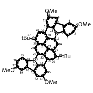 COc1ccc2c(c1)-c1cc(OC)cc3c1B2c1cc2c(C(C)(C)C)cc4c5c(cc6c(C(C)(C)C)cc-3c1c6c25)B1c2ccc(OC)cc2-c2cc(OC)cc-4c21